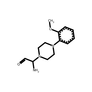 COc1ccccc1N1CCN(C(N)C=O)CC1